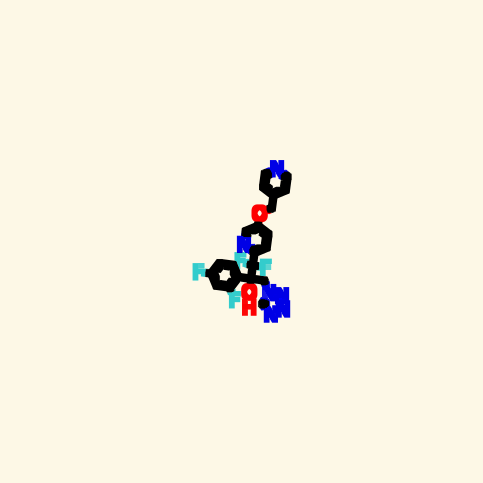 OC(Cn1cnnn1)(c1ccc(F)cc1F)C(F)(F)c1ccc(OCc2ccncc2)cn1